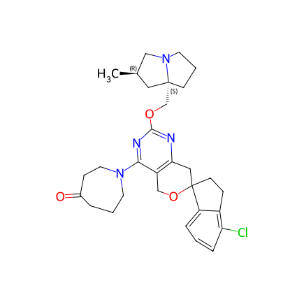 C[C@H]1CN2CCC[C@@]2(COc2nc3c(c(N4CCCC(=O)CC4)n2)COC2(CCc4c(Cl)cccc42)C3)C1